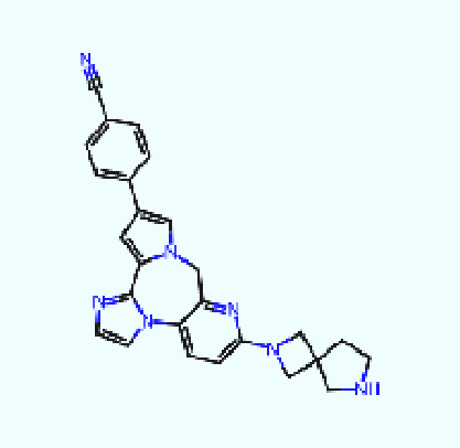 N#Cc1ccc(-c2cc3n(c2)Cc2nc(N4CC5(CCNC5)C4)ccc2-n2ccnc2-3)cc1